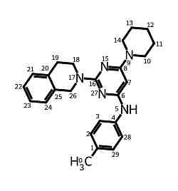 Cc1ccc(Nc2cc(N3CCCCC3)nc(N3CCc4ccccc4C3)n2)cc1